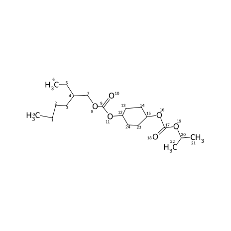 CCCCC(CC)COC(=O)OC1CCC(OC(=O)OC(C)C)CC1